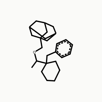 CC(OCC12CC3CC(CC(C3)C1)C2)C1(Cc2ccccc2)CCCCC1